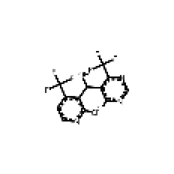 OC(c1c(C(F)(F)F)ccnc1Cl)c1c(Cl)ncnc1C(F)(F)F